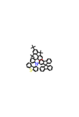 CC(C)(C)c1cc(C(C)(C)C)c2c(c1)C(C)(C)c1cccc(-c3ccccc3N(c3ccc4c(c3)C3(c5ccccc5-c5ccccc53)c3ccccc3-4)c3cccc4sc5ccccc5c34)c1-2